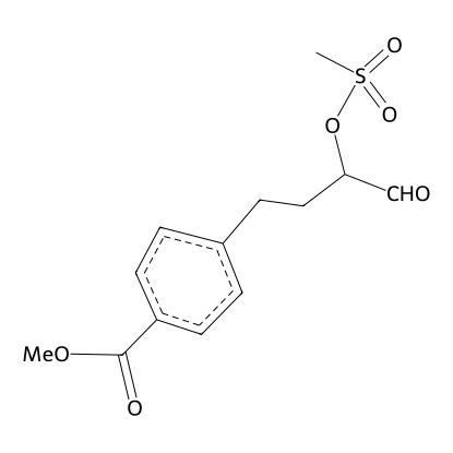 COC(=O)c1ccc(CCC(C=O)OS(C)(=O)=O)cc1